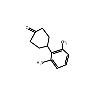 Cc1cccc(N)c1C1CCC(=O)CC1